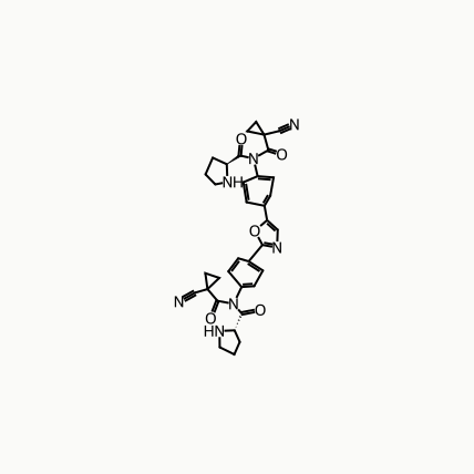 N#CC1(C(=O)N(C(=O)[C@@H]2CCCN2)c2ccc(-c3cnc(-c4ccc(N(C(=O)[C@@H]5CCCN5)C(=O)C5(C#N)CC5)cc4)o3)cc2)CC1